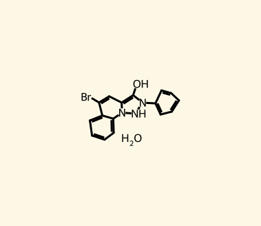 O.OC1=C2C=C(Br)c3ccccc3N2NN1c1ccccc1